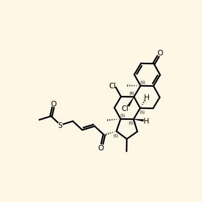 CC(=O)SCC=CC(=O)[C@H]1C(C)C[C@H]2[C@@H]3CCC4=CC(=O)C=C[C@]4(C)[C@@]3(Cl)C(Cl)C[C@]12C